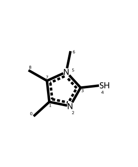 Cc1nc(S)n(C)c1C